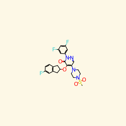 CS(=O)(=O)N1CCN(c2cnn(-c3cc(F)cc(F)c3)c(=O)c2OC2Cc3ccc(F)cc3C2)CC1